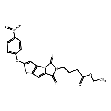 CCOC(=O)CCCN1C(=O)c2cc3oc(Oc4ccc([N+](=O)[O-])cc4)cc3n2C1=S